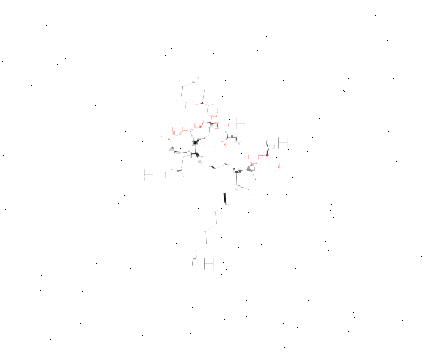 CCCCCCC=C[C@H]1CC[C@H](OC(C)=O)[C@@H]1CC=C=C(CCC)CCC(OC(C)=O)(OC1CCCCO1)OC1CCCCO1